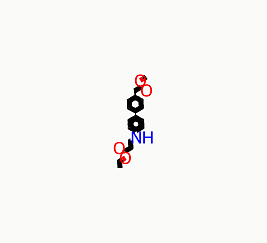 CCOC(=O)CCNc1ccc([C@H]2CC[C@H](CC(=O)OC)CC2)cc1